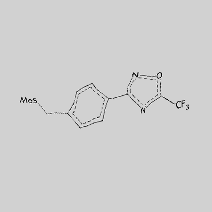 CSCc1ccc(-c2noc(C(F)(F)F)n2)cc1